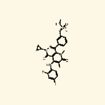 CN[S@@](C)(=O)=Nc1cccc(-c2nn(C3CC3)c(=O)c3c(Nc4ccc(I)cc4F)c(C)c(=O)n(C)c23)c1